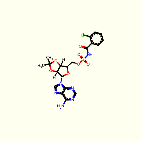 CC1(C)O[C@@H]2[C@H](O1)[C@@H](COS(=O)(=O)NC(=O)c1ccccc1Cl)O[C@H]2n1cnc2c(N)ncnc21